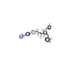 O=C(C=C(O)c1cc(Cc2c(F)ccc(F)c2F)cn(Cc2cccc(F)c2)c1=O)C(=O)N1CCN(c2ccc(-n3cncn3)cc2)CC1